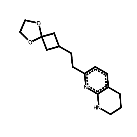 c1cc2c(nc1CCC1CC3(C1)OCCO3)NCCC2